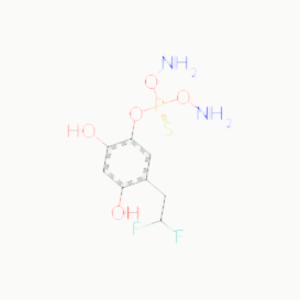 NOP(=S)(ON)Oc1cc(CC(F)F)c(O)cc1O